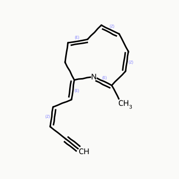 C#C\C=C/C=C1C\C=C\C=C/C=C\C(C)=N\1